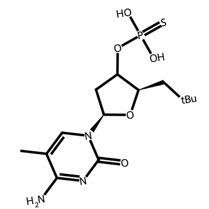 Cc1cn([C@H]2CC(OP(O)(O)=S)[C@@H](CC(C)(C)C)O2)c(=O)nc1N